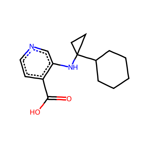 O=C(O)c1ccncc1NC1(C2CCCCC2)CC1